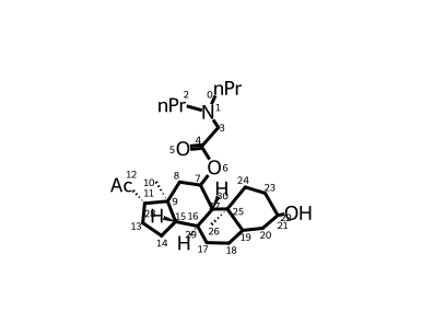 CCCN(CCC)CC(=O)OC1C[C@]2(C)[C@@H](C(C)=O)CC[C@H]2[C@@H]2CCC3CC(O)CC[C@]3(C)[C@@H]12